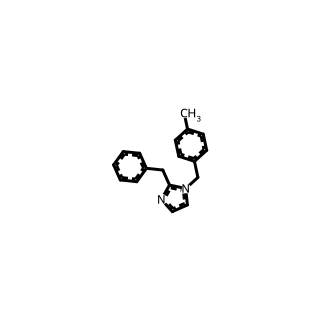 Cc1ccc(Cn2ccnc2Cc2ccccc2)cc1